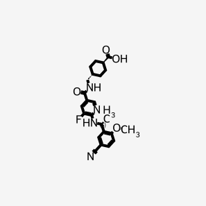 COc1ccc(C#N)cc1[C@H](C)Nc1ncc(C(=O)NC[C@H]2CC[C@H](C(=O)O)CC2)cc1F